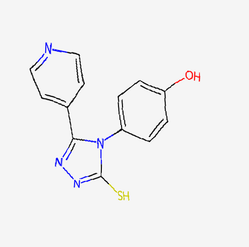 Oc1ccc(-n2c(S)nnc2-c2ccncc2)cc1